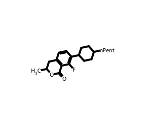 CCCCCC1CCC(c2ccc3c(c2F)C(=O)OC(C)C3)CC1